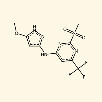 COc1cc(Nc2cc(C(F)(F)F)nc(S(C)(=O)=O)n2)n[nH]1